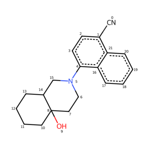 N#Cc1ccc(N2CCC3(O)CCCCC3C2)c2ccccc12